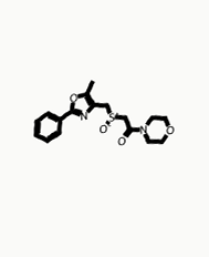 Cc1oc(-c2ccccc2)nc1C[S+]([O-])CC(=O)N1CCOCC1